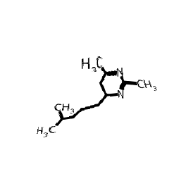 CC1=NC(C)=NC(CCCC(C)C)C1